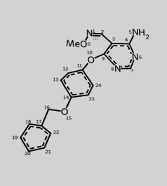 CO/N=C\c1c(N)ncnc1Oc1ccc(OCc2ccccc2)cc1